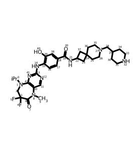 CC(C)N1CC(F)(F)C(=O)N(C)c2cnc(Nc3ccc(C(=O)NC4CC5(CCN(CC6CCNCC6)CC5)C4)cc3O)nc21